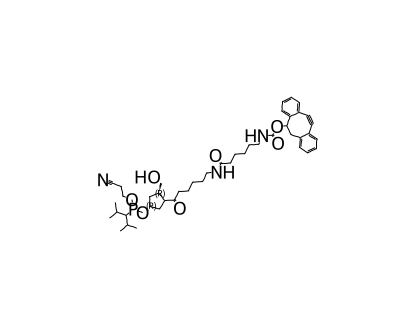 CC(C)C(C(C)C)P(OCCC#N)O[C@H]1CC(C(=O)CCCCCNC(=O)CCCCCNC(=O)OC2Cc3ccccc3C#Cc3ccccc32)[C@H](CO)C1